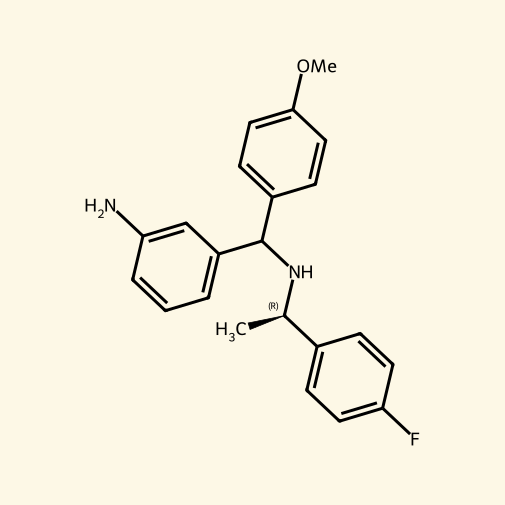 COc1ccc(C(N[C@H](C)c2ccc(F)cc2)c2cccc(N)c2)cc1